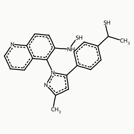 Cc1cc(-c2ccc(C(C)S)cc2)n(-c2c(NS)ccc3ncccc23)n1